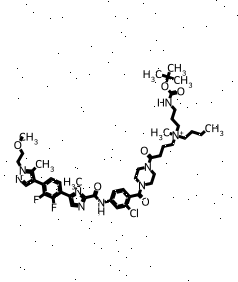 CCCC[N+](C)(CCCNC(=O)OC(C)(C)C)CCCC(=O)N1CCN(C(=O)c2ccc(NC(=O)c3ncc(-c4ccc(-c5cnn(CCOC)c5C)c(F)c4F)n3C)cc2Cl)CC1